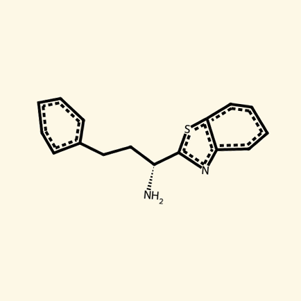 N[C@H](CCc1ccccc1)c1nc2ccccc2s1